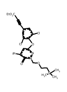 CCOC(=O)C#Cc1cc(Cl)c(Oc2cc(C(C)C)c(=O)n(COCC[Si](C)(C)C)n2)c(Cl)c1